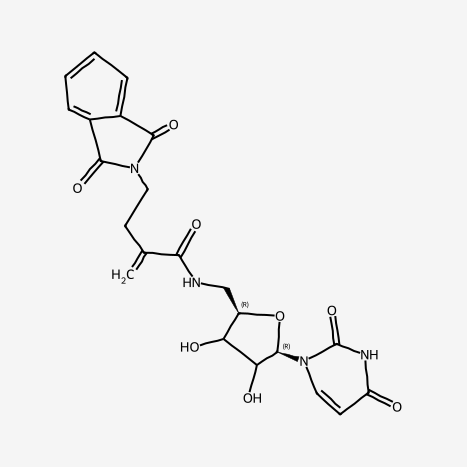 C=C(CCN1C(=O)c2ccccc2C1=O)C(=O)NC[C@H]1O[C@@H](n2ccc(=O)[nH]c2=O)C(O)C1O